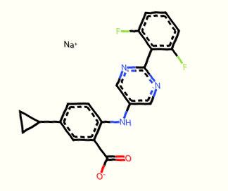 O=C([O-])c1cc(C2CC2)ccc1Nc1cnc(-c2c(F)cccc2F)nc1.[Na+]